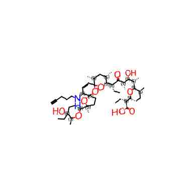 C#CCCCN[C@@H]1C=CC2(O[C@H]([C@@H](CC)C(=O)[C@@H](C)[C@@H](O)[C@H](C)[C@@H]3O[C@@H]([C@@H](CC)C(=O)O)CC[C@@H]3C)[C@@H](C)C[C@H]2C)O[C@@]12CC[C@@](C)([C@H]1CC[C@](O)(CC)[C@H](C)O1)O2